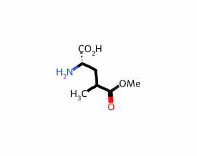 COC(=O)C(C)C[C@H](N)C(=O)O